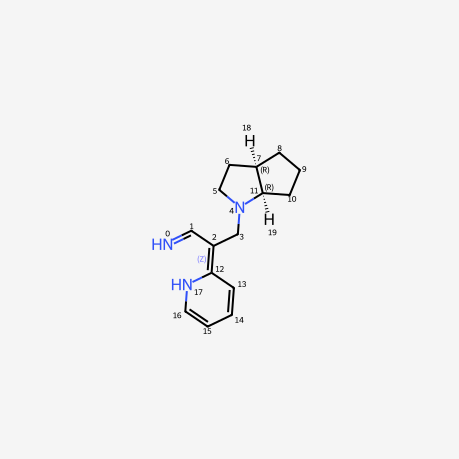 N=C/C(CN1CC[C@H]2CCC[C@H]21)=C1/C=CC=CN1